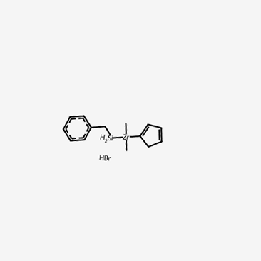 Br.[CH3][Zr]([CH3])([SiH2]Cc1ccccc1)[C]1=CC=CC1